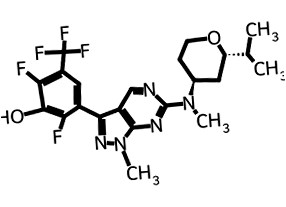 CC(C)[C@@H]1C[C@@H](N(C)c2ncc3c(-c4cc(C(F)(F)F)c(F)c(O)c4F)nn(C)c3n2)CCO1